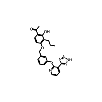 CCCc1c(OCc2cccc(Sc3ncccc3-c3nn[nH]n3)c2)ccc(C(C)=O)c1O